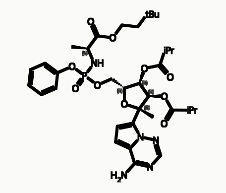 CC(C)C(=O)O[C@H]1[C@@H](OC(=O)C(C)C)[C@](C)(c2ccc3c(N)ncnn23)O[C@@H]1COP(=O)(N[C@@H](C)C(=O)OCCC(C)(C)C)Oc1ccccc1